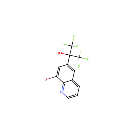 OC(c1cc(Br)c2ncccc2c1)(C(F)(F)F)C(F)(F)F